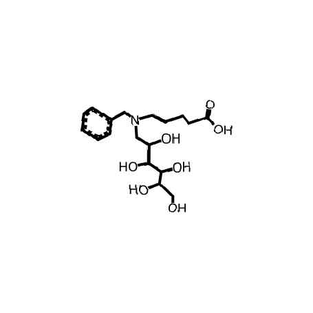 O=C(O)CCCCN(Cc1ccccc1)CC(O)C(O)C(O)C(O)CO